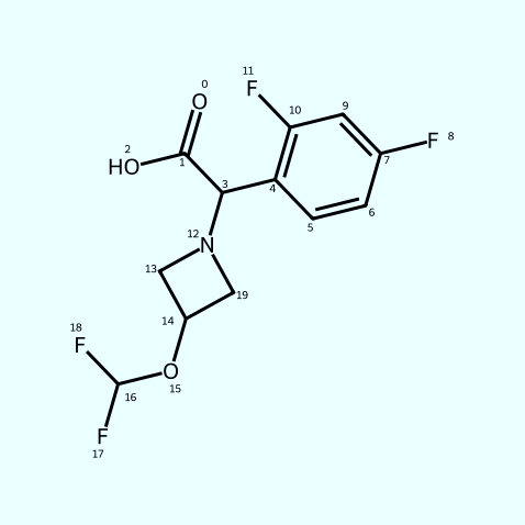 O=C(O)C(c1ccc(F)cc1F)N1CC(OC(F)F)C1